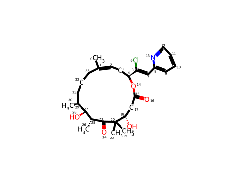 C/C1=C/C[C@@H](C(Cl)=Cc2ccccn2)OC(=O)C[C@H](O)C(C)(C)C(=O)[C@H](C)[C@@H](O)[C@@H](C)CCC1